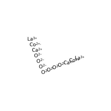 [Ca+2].[Ca+2].[Co+2].[Co+2].[La+3].[La+3].[O-2].[O-2].[O-2].[O-2].[O-2].[O-2].[O-2]